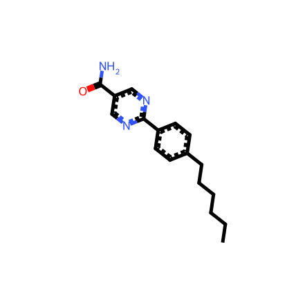 CCCCCCc1ccc(-c2ncc(C(N)=O)cn2)cc1